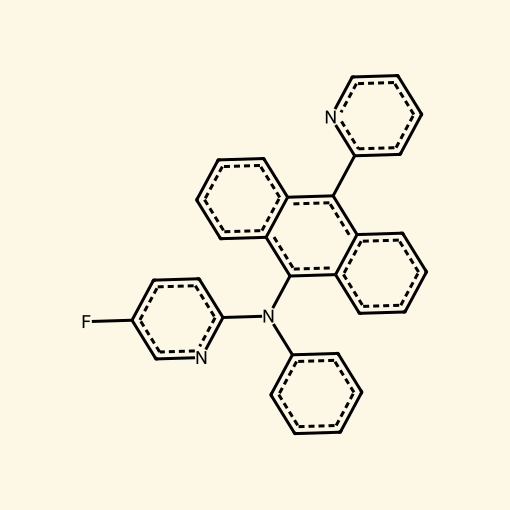 Fc1ccc(N(c2ccccc2)c2c3ccccc3c(-c3ccccn3)c3ccccc23)nc1